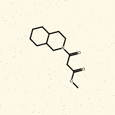 COC(=O)CC(=O)N1CCC2CCCCC2C1